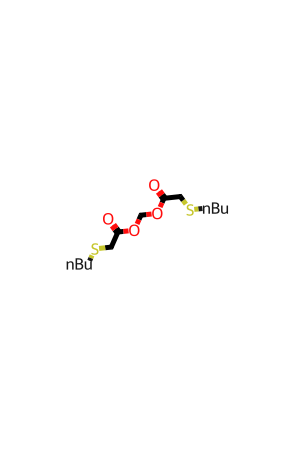 CCCCSCC(=O)OCOC(=O)CSCCCC